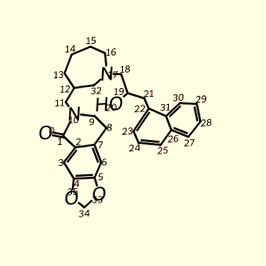 O=C1c2cc3c(cc2CCN1CC1CCCCN(CC(O)Cc2cccc4ccccc24)C1)OCO3